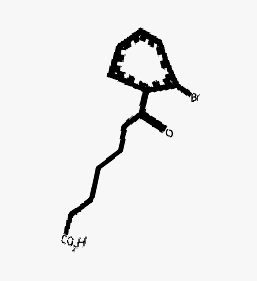 O=C(O)CCCCCC(=O)c1ccccc1Br